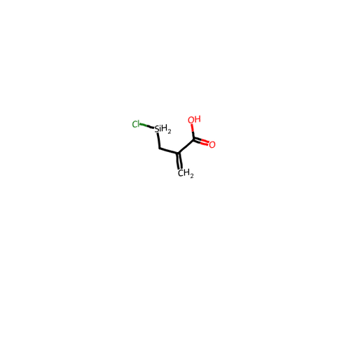 C=C(C[SiH2]Cl)C(=O)O